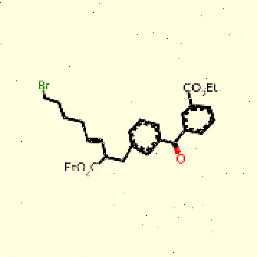 CCOC(=O)c1cccc(C(=O)c2cccc(CC(C=CCCCCBr)C(=O)OCC)c2)c1